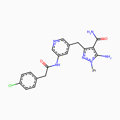 CC(C)n1nc(Cc2cncc(NC(=O)Cc3ccc(Cl)cc3)c2)c(C(N)=O)c1N